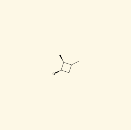 CC1C[C@@H]([O])[C@H]1C